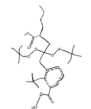 CCCCC(CC(Cc1cccc(C(=O)OO)c1C(C)(C)C)(OOC(C)(C)C)OOC(C)(C)C)C(=O)O